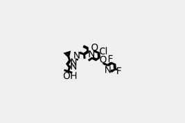 C=C/C(=C(C)\C=N/Cn1nc(C(C)(C)O)cc1C1CC1)n1c(C)cc(OCc2ncc(F)cc2F)c(Cl)c1=O